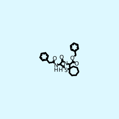 O=C(Cc1ccccc1)NC1C(=O)N2C(C(=O)OCc3ccccc3)C3(CCCCCC3)S[C@@H]12